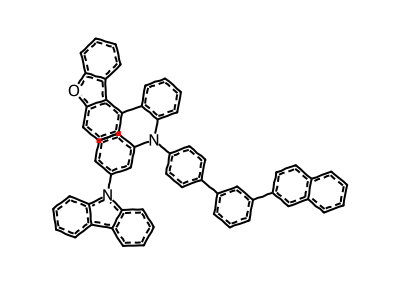 c1cc(-c2ccc(N(c3cccc(-n4c5ccccc5c5ccccc54)c3)c3ccccc3-c3cccc4oc5ccccc5c34)cc2)cc(-c2ccc3ccccc3c2)c1